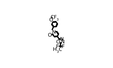 CC(F)(F)c1nnc(-c2ccn(Cc3cccc(OC(F)(F)F)c3)c(=O)c2)o1